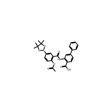 CC(=O)Oc1ccc(B2OC(C)(C)C(C)(C)O2)cc1C(=O)Nc1cc(-c2ccccc2)ccc1C(=O)O